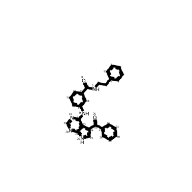 O=C(NCCc1ccccc1)c1cccc(Nc2ncnc3[nH]cc(C(=O)c4ccccc4)c23)c1